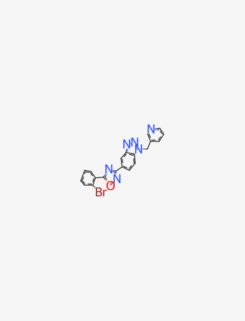 Brc1ccccc1-c1nc(-c2ccc3c(c2)nnn3Cc2cccnc2)no1